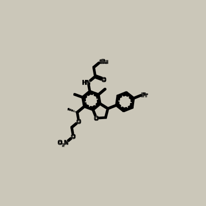 Cc1c(NC(=O)CC(C)(C)C)c(C)c([C@@H](C)OCO[N+](=O)[O-])c2c1C(c1ccc(C(C)C)cc1)CO2